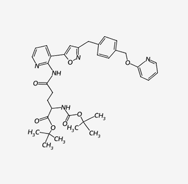 CC(C)(C)OC(=O)NC(CCC(=O)Nc1ncccc1-c1cc(Cc2ccc(COc3ccccn3)cc2)no1)C(=O)OC(C)(C)C